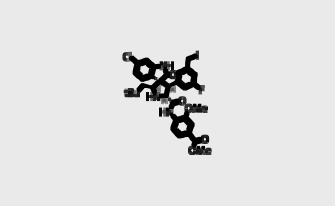 COC(=O)c1ccc(NC(=O)[C@@H]2N[C@@H](CC(C)(C)C)[C@@]3(C(=O)Nc4cc(Cl)ccc43)[C@H]2c2cc(F)cc(CI)c2)c(OC)c1